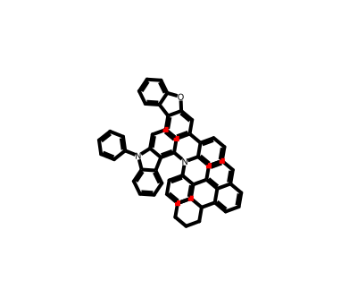 c1ccc(-n2c3ccccc3c3c(N(c4ccccc4-c4ccc5c(c4)oc4ccccc45)c4ccccc4-c4cccc5cccc(C6CCCCC6)c45)cccc32)cc1